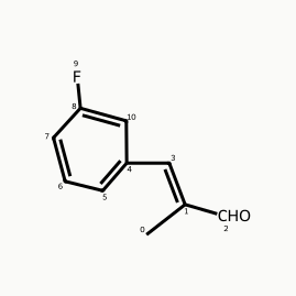 C/C(C=O)=C\c1cccc(F)c1